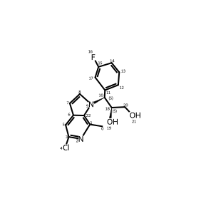 Cc1nc(Cl)cc2ccn([C@@H](c3cccc(F)c3)[C@H](O)CO)c12